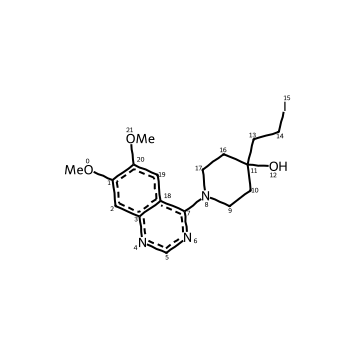 COc1cc2ncnc(N3CCC(O)(CCI)CC3)c2cc1OC